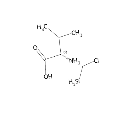 CC(C)[C@H](N)C(=O)O.[SiH3]CCl